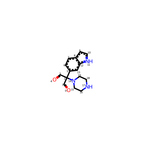 O=CC(C=O)(c1ccc2cc[nH]c2c1)N1CCNCC1